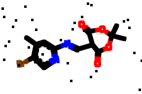 Cc1cc(/N=C/C2C(=O)OC(C)(C)OC2=O)ncc1Br